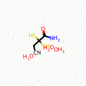 N#CCC(S)(S)C(N)=O.O.O.O